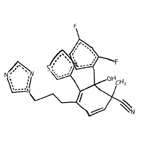 CC1(C#N)C=CC(CCCn2cncn2)=C(c2cscn2)C1(O)c1ccc(F)cc1F